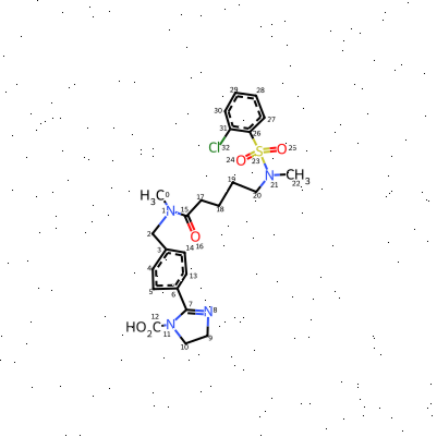 CN(Cc1ccc(C2=NCCN2C(=O)O)cc1)C(=O)CCCCN(C)S(=O)(=O)c1ccccc1Cl